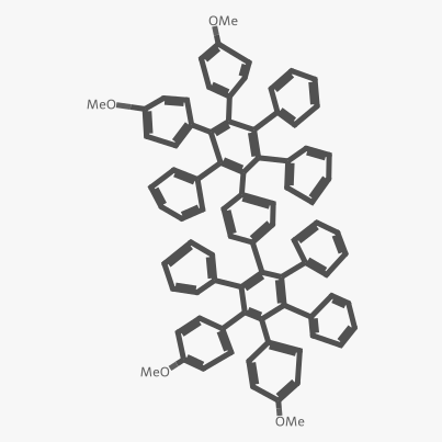 COc1ccc(-c2c(-c3ccccc3)c(-c3ccccc3)c(-c3ccc(-c4c(-c5ccccc5)c(-c5ccccc5)c(-c5ccc(OC)cc5)c(-c5ccc(OC)cc5)c4-c4ccccc4)cc3)c(-c3ccccc3)c2-c2ccc(OC)cc2)cc1